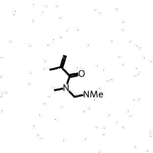 C=C(C)C(=O)N(C)CNC